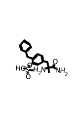 CC(N)(Cc1ccc(Cc2ccccc2)cc1)C(N)=O.CS(=O)(=O)O